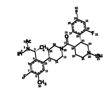 CC(=O)N(C(C)C)[C@H](C)c1cc(F)c(C)cc1C1CCN(C(=O)C2CCN(C(C)(C)C)C[C@H]2c2ccc(F)cc2F)CC1